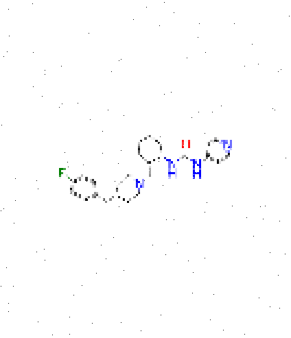 O=C(Nc1ccncc1)N[C@@H]1CCCC[C@H]1CN1CCC(Cc2ccc(F)cc2)CC1